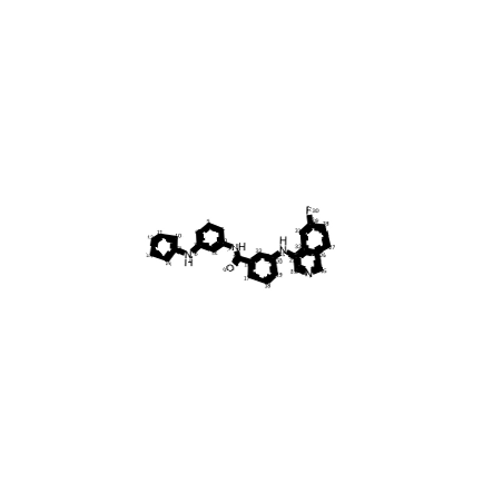 O=C(Nc1cccc(Nc2ccccc2)c1)c1cccc(Nc2cncc3ccc(F)cc23)c1